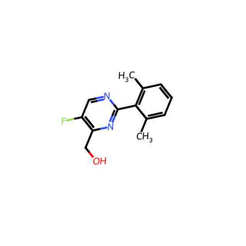 Cc1cccc(C)c1-c1ncc(F)c(CO)n1